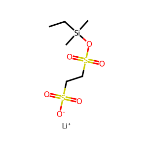 CC[Si](C)(C)OS(=O)(=O)CCS(=O)(=O)[O-].[Li+]